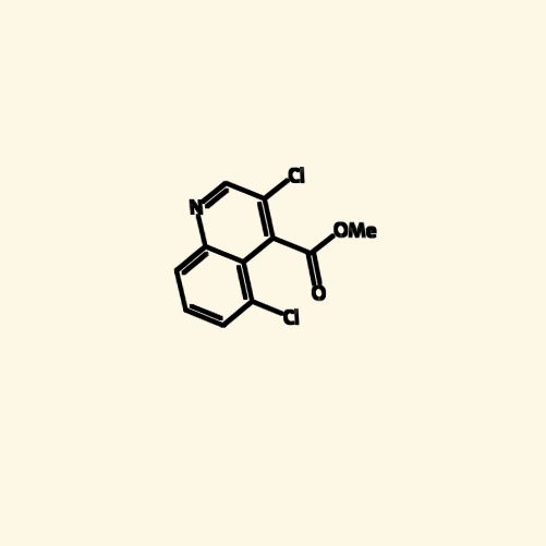 COC(=O)c1c(Cl)cnc2cccc(Cl)c12